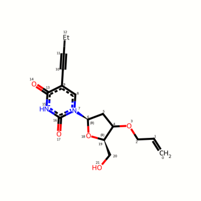 C=CCOC1C[C@H](n2cc(C#CCC)c(=O)[nH]c2=O)O[C@@H]1CO